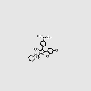 CCCCC(C)c1ccc(-c2c(-c3ccc(Cl)cc3Cl)nn(C(=O)NN3CCCCC3)c2C)cc1